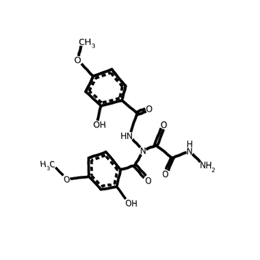 COc1ccc(C(=O)NN(C(=O)C(=O)NN)C(=O)c2ccc(OC)cc2O)c(O)c1